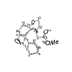 COC(=O)C(c1ccccc1)N1CCOc2ccc(C)cc21